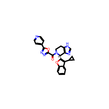 O=C(c1nnc(-c2ccncc2)o1)N1CCc2[nH]cnc2[C@@H]1c1oc2ccccc2c1C1CC1